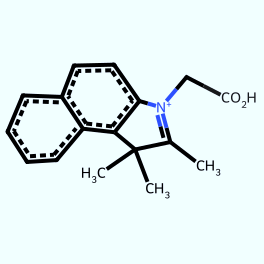 CC1=[N+](CC(=O)O)c2ccc3ccccc3c2C1(C)C